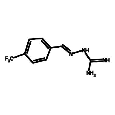 N=C(N)NN=Cc1ccc(C(F)(F)F)cc1